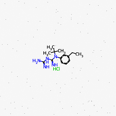 CCc1cccc(N(C(=N)NC(=N)N)C(C)(C)C)c1.Cl